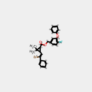 CC1(C)C(C=C(Br)c2ccccc2)C1C(=O)OCc1ccc(F)c(Oc2ccccc2)c1